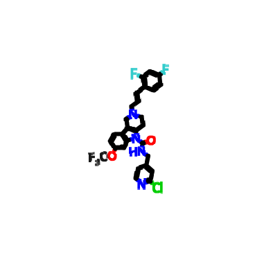 O=C(NCc1ccnc(Cl)c1)n1c2c(c3ccc(OC(F)(F)F)cc31)CN(CC=Cc1ccc(F)cc1F)CC2